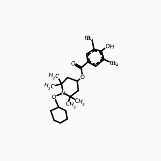 CC(C)(C)c1cc(C(=O)OC2CC(C)(C)N(OC3CCCCC3)C(C)(C)C2)cc(C(C)(C)C)c1O